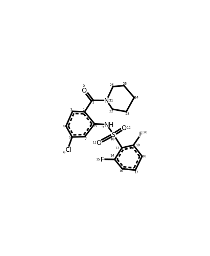 O=C(c1ccc(Cl)cc1NS(=O)(=O)c1c(F)cccc1F)N1CCCCC1